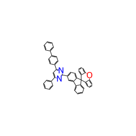 c1ccc(-c2ccc(-c3cc(-c4ccccc4)nc(-c4ccc5c(c4)-c4ccccc4C54c5ccccc5Oc5ccccc54)n3)cc2)cc1